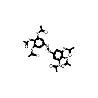 CC(=O)Sc1cc(/N=N/c2cc(SC(C)=O)c(SC(C)=O)c(SC(C)=O)c2)cc(SC(C)=O)c1SC(C)=O